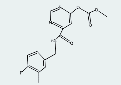 COC(=O)Oc1cc(C(=O)NCc2ccc(F)c(C)c2)ncn1